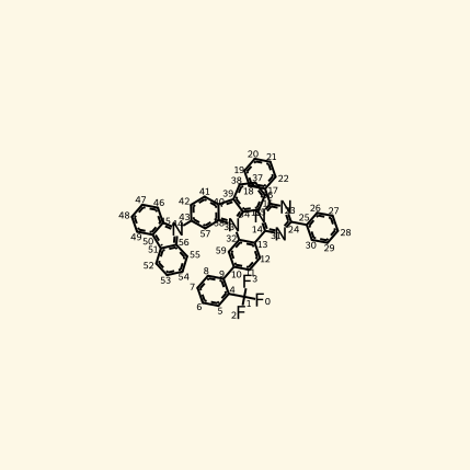 FC(F)(F)c1ccccc1-c1ccc(-c2nc(-c3ccccc3)nc(-c3ccccc3)n2)c(-n2c3ccccc3c3ccc(-n4c5ccccc5c5ccccc54)cc32)c1